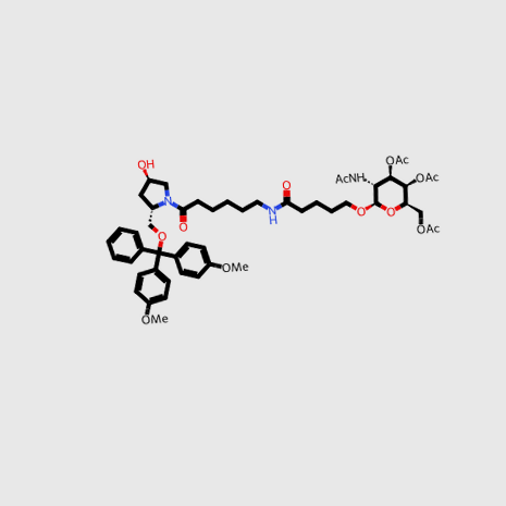 COc1ccc(C(OC[C@@H]2C[C@@H](O)CN2C(=O)CCCCCNC(=O)CCCCO[C@@H]2O[C@H](COC(C)=O)[C@H](OC(C)=O)[C@H](OC(C)=O)[C@H]2NC(C)=O)(c2ccccc2)c2ccc(OC)cc2)cc1